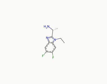 CCn1c([C@@H](C)N)nc2cc(F)c(F)cc21